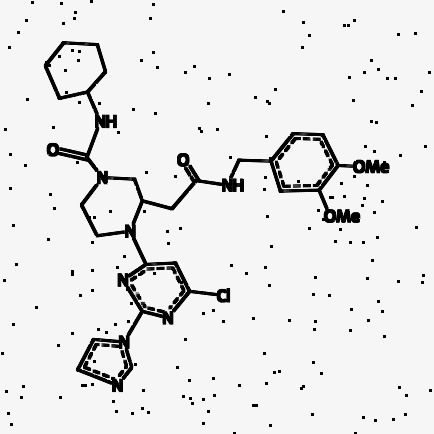 COc1ccc(CNC(=O)CC2CN(C(=O)NC3CCCCC3)CCN2c2cc(Cl)nc(-n3ccnc3)n2)cc1OC